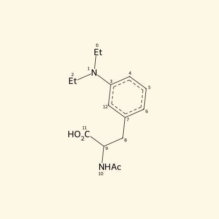 CCN(CC)c1cccc(CC(NC(C)=O)C(=O)O)c1